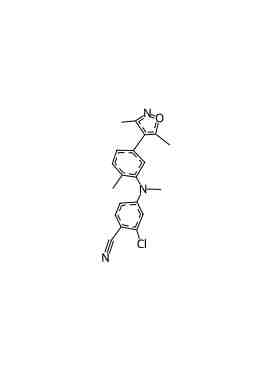 Cc1ccc(-c2c(C)noc2C)cc1N(C)c1ccc(C#N)c(Cl)c1